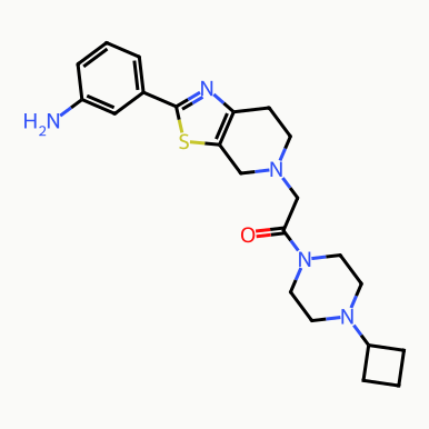 Nc1cccc(-c2nc3c(s2)CN(CC(=O)N2CCN(C4CCC4)CC2)CC3)c1